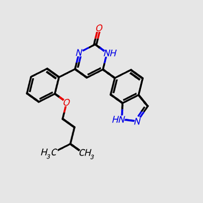 CC(C)CCOc1ccccc1-c1cc(-c2ccc3cn[nH]c3c2)[nH]c(=O)n1